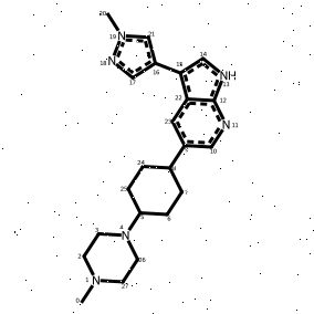 CN1CCN(C2CCC(c3cnc4[nH]cc(-c5cnn(C)c5)c4c3)CC2)CC1